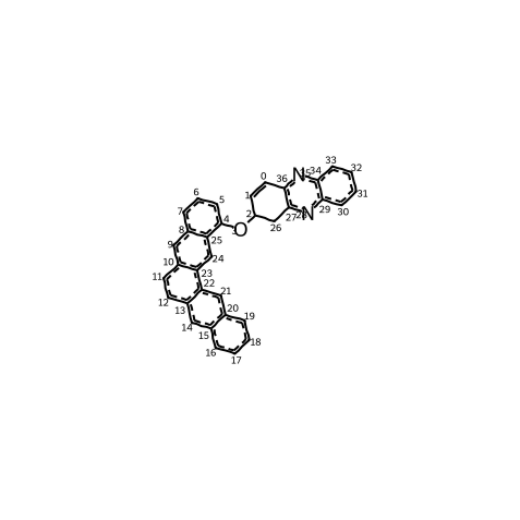 C1=CC(Oc2cccc3cc4ccc5cc6ccccc6cc5c4cc23)Cc2nc3ccccc3nc21